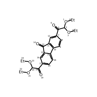 CCOC(OCC)C(=O)c1ccc2c(c1)C(=O)c1cc(C(=O)C(OCC)OCC)ccc1-2